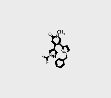 Cn1cc(-c2ccn(Cc3ccccc3)n2)c(-c2cnn(C(F)F)c2)cc1=O